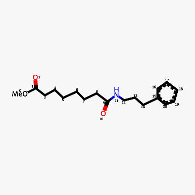 COC(=O)CCCCCCC(=O)NCCCc1ccccc1